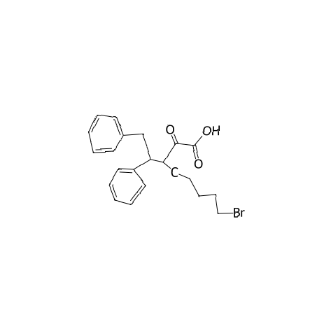 O=C(O)C(=O)C(CCCCCBr)C(Cc1ccccc1)c1ccccc1